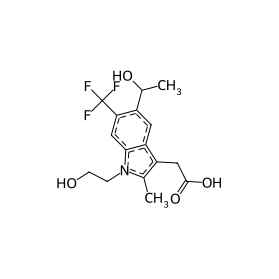 Cc1c(CC(=O)O)c2cc(C(C)O)c(C(F)(F)F)cc2n1CCO